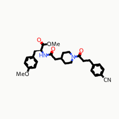 COC(=O)[C@H](Cc1ccc(OC)cc1)NC(=O)CC1CCN(C(=O)CCc2ccc(C#N)cc2)CC1